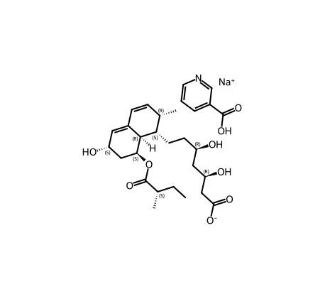 CC[C@H](C)C(=O)O[C@H]1C[C@H](O)C=C2C=C[C@H](C)[C@H](CC[C@@H](O)C[C@@H](O)CC(=O)[O-])[C@H]21.O=C(O)c1cccnc1.[Na+]